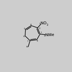 CNC1=C([N+](=O)[O-])C=CCC(C)=C1